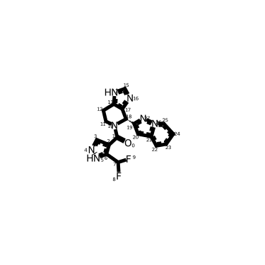 O=C(c1cn[nH]c1C(F)F)N1CCc2[nH]cnc2[C@@H]1c1cc2ccccn2n1